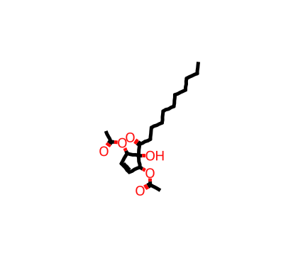 CCCCCCCCCCC(=O)C1(O)C(OC(C)=O)C=CC1OC(C)=O